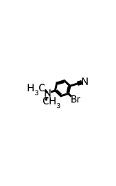 CN(C)c1ccc(C#N)c(Br)c1